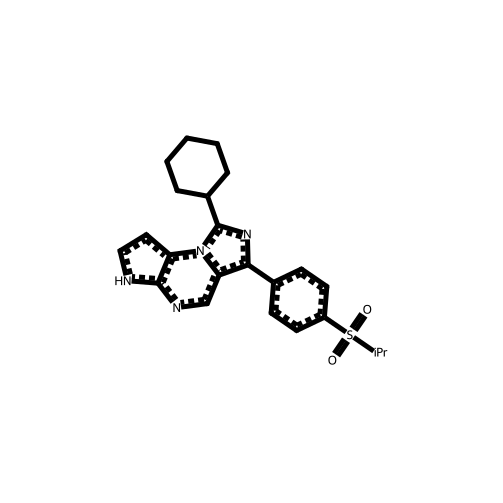 CC(C)S(=O)(=O)c1ccc(-c2nc(C3CCCCC3)n3c2cnc2[nH]ccc23)cc1